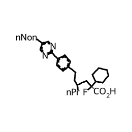 CCCCCCCCCc1cnc(-c2ccc(CCC(CCC)C[C@@](F)(C(=O)O)C3CCCCC3)cc2)nc1